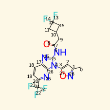 Cc1cc(-n2c(NC(=O)CC3CC(F)(F)C3)nc3ccc(C(F)(F)F)nc32)on1